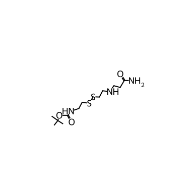 CC(C)(C)OC(=O)NCCSSCCNCCC(N)=O